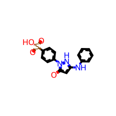 O=c1cc(Nc2ccccc2)[nH]n1-c1ccc(S(=O)(=O)O)cc1